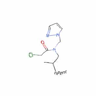 CCCCCC(C)CN(Cn1cccn1)C(=O)CCl